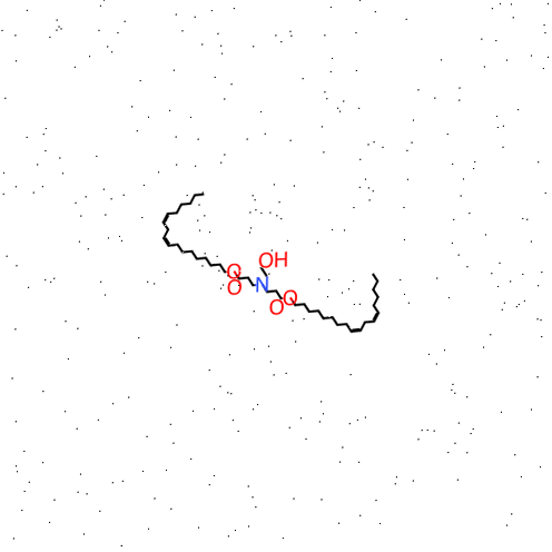 CCCCC/C=C\C/C=C\CCCCCCCCOC(=O)CCN(CCO)CCC(=O)OCCCCCCCC/C=C\C/C=C\CCCCC